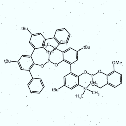 COc1cccc2c1OP(Oc1c(-c3cc(C(C)(C)C)cc([Si](C)(C)C)c3Op3oc4c(-c5ccccc5)cc(C(C)(C)C)cc4c4cc(C(C)(C)C)cc(-c5ccccc5)c4o3)cc(C(C)(C)C)cc1[Si](C)(C)C)OC2